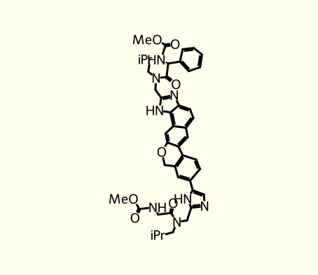 COC(=O)NCC(=O)N(Cc1ncc(-c2ccc3c(c2)COc2cc4c(ccc5nc(CN(CC(C)C)C(=O)[C@H](NC(=O)OC)c6ccccc6)[nH]c54)cc2-3)[nH]1)CC(C)C